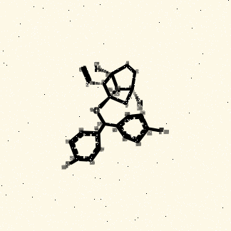 C=C[C@@H]1[C@H]2CC[C@@H](C[C@H]1OC(c1ccc(F)cc1)c1ccc(F)cc1)N2C